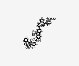 CCC1(CC)c2cc(NC(=O)[C@@H]3CCCN3C(=O)[C@H](NC(=O)OC)c3ccccc3)ccc2-c2ccc(-c3cnc([C@@H]4CCCN4C(=O)[C@@H](NC(=O)OC)C(C)C)[nH]3)cc21